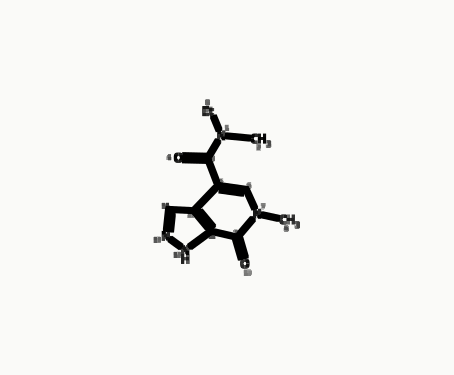 CCN(C)C(=O)c1cn(C)c(=O)c2[nH]ncc12